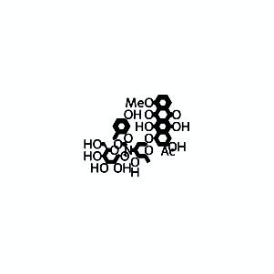 COc1cccc2c1C(=O)c1c(O)c3c(c(O)c1C2=O)C[C@@](O)(C(C)=O)C[C@@H]3OC1CC(N(O[C@H]2O[C@H](CO)[C@H](O)[C@H](O)[C@H]2O)C(=O)OCc2ccc(O)cc2)C(O)C(C)O1